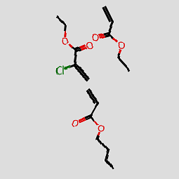 C=C(Cl)C(=O)OCC.C=CC(=O)OCC.C=CC(=O)OCCCC